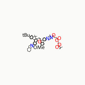 C=C(C)C(=O)OCCOC(=O)CCC(=O)N1CCN(c2ccc(C3(c4ccccc4)C=Cc4c5c(c6cc(N7CCC8CCCCC8C7)c(OC)cc6c4O3)-c3ccc(C(C)(C)C)cc3C5(C)C)cc2)CC1C